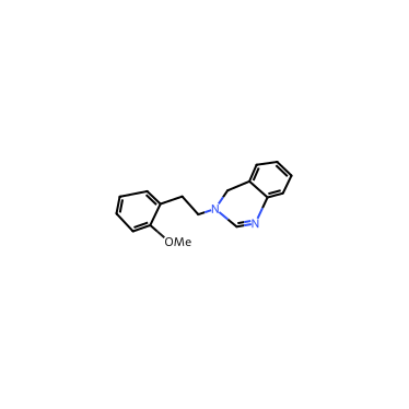 COc1ccccc1CCN1C=Nc2ccccc2C1